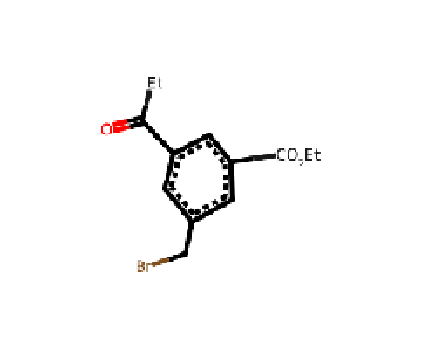 CCOC(=O)c1cc(CBr)cc(C(=O)CC)c1